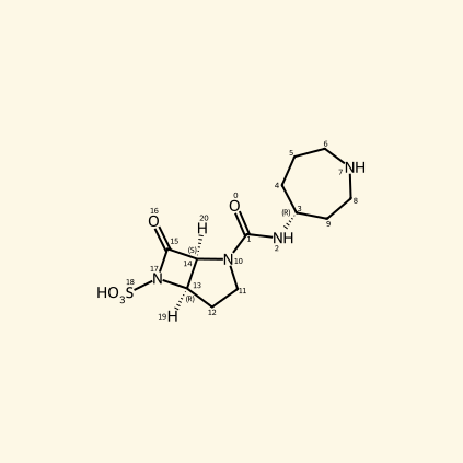 O=C(N[C@@H]1CCCNCC1)N1CC[C@@H]2[C@H]1C(=O)N2S(=O)(=O)O